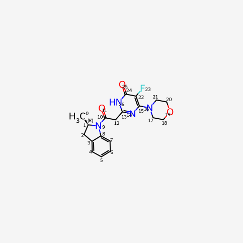 C[C@@H]1Cc2ccccc2N1C(=O)Cc1nc(N2CCOCC2)c(F)c(=O)[nH]1